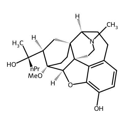 CCC[C@](C)(O)[C@H]1C[C@@]23CC[C@@]1(OC)[C@@H]1Oc4c(O)ccc5c4[C@@]12CCN(C)[C@@H]3CC5